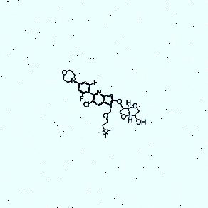 C[Si](C)(C)CCOCn1c(O[C@@H]2CO[C@H]3[C@@H]2OC[C@H]3O)cc2nc(-c3c(F)cc(N4CCOCC4)cc3F)c(Cl)cc21